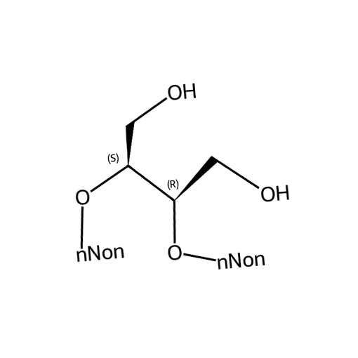 CCCCCCCCCO[C@@H](CO)[C@@H](CO)OCCCCCCCCC